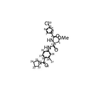 COC[C@H](NC(=O)c1ccc(Cl)s1)C(=O)Nc1ccc(C(=O)N2CCCC2)c(C)c1